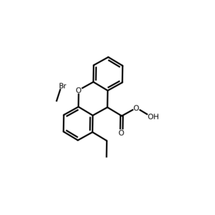 CBr.CCc1cccc2c1C(C(=O)OO)c1ccccc1O2